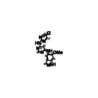 COc1cc2[nH]ncc2cc1Nc1cc(Nc2ncc(Cl)cn2)ncn1